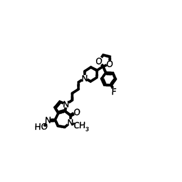 CN1CCC(=NO)c2ccn(CCCCN3CCC(C4(c5ccc(F)cc5)OCCO4)CC3)c2C1=O